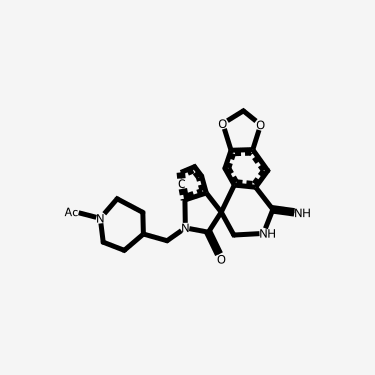 CC(=O)N1CCC(CN2C(=O)C3(CNC(=N)c4cc5c(cc43)OCO5)c3ccccc32)CC1